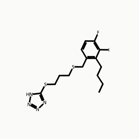 CCCCc1c(CSCCCSc2nnn[nH]2)ccc(F)c1I